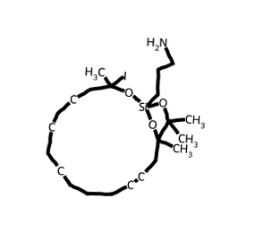 CC1(I)CCCCCCCCCCCCC2(C)O[Si](CCCN)(O1)OC2(C)C